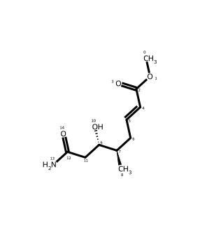 COC(=O)/C=C/C[C@@H](C)[C@@H](O)CC(N)=O